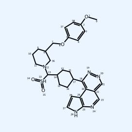 COc1ccc(OCC2CCCN(C(C3CCC(c4nncc5cnc6[nH]ccc6c45)CC3)[SH](=O)=O)C2)cc1